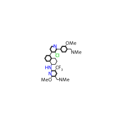 CNCc1ccc(-c2nccc(-c3cccc4c3CCC[C@H]4Nc3nc(OC)c(CNC)cc3C(F)(F)F)c2Cl)cc1OC